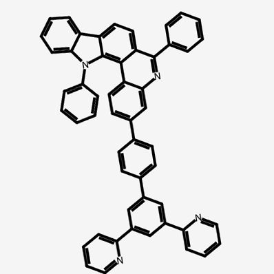 c1ccc(-c2nc3cc(-c4ccc(-c5cc(-c6ccccn6)cc(-c6ccccn6)c5)cc4)ccc3c3c2ccc2c4ccccc4n(-c4ccccc4)c23)cc1